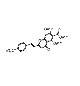 COC(=O)c1c(OC)cc2oc(C=Cc3ccc(C(=O)O)cc3)cc(=O)c2c1OC